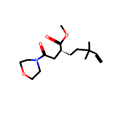 C=CC(C)(C)CC[C@H](CC(=O)N1CCOCC1)C(=O)OC